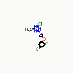 Cc1nc(Cl)nc(N2CC(Oc3ccc(Cl)cc3F)C2)n1